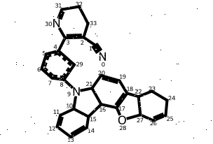 N#CC1=C(c2cccc(N3C4C=CC=CC4C4C5=C(C=CC43)C3CCC=CC3O5)c2)N=CCC1